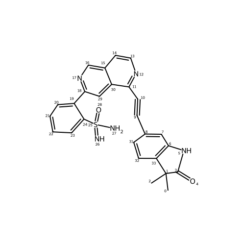 CC1(C)C(=O)Nc2cc(C#Cc3nccc4cnc(-c5ccccc5S(=N)(N)=O)cc34)ccc21